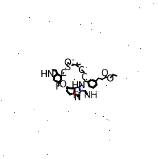 CCOC(=O)CCc1cccc(C2CCCC(C)(C)C[S+]([O-])CCc3c(c(F)cc4[nH]ccc34)Oc3ccc(F)c(c3)/C(=C(\C#N)C=N)N2)c1